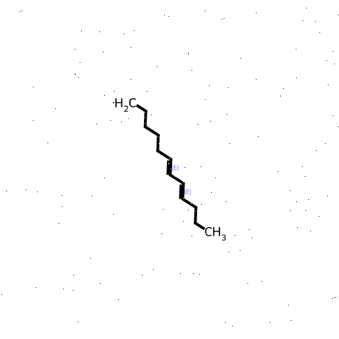 [CH2]CCCC/C=C/C=C/CCC